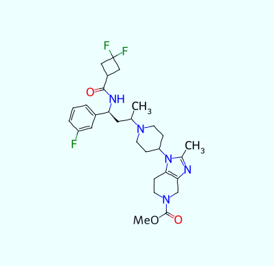 COC(=O)N1CCc2c(nc(C)n2C2CCN(C(C)C[C@H](NC(=O)C3CC(F)(F)C3)c3cccc(F)c3)CC2)C1